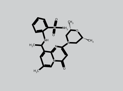 Cc1cc(C(C)Nc2ccccc2S(N)(=O)=O)c2nc(N3C[C@@H](C)O[C@@H](C)C3)cc(=O)n2c1